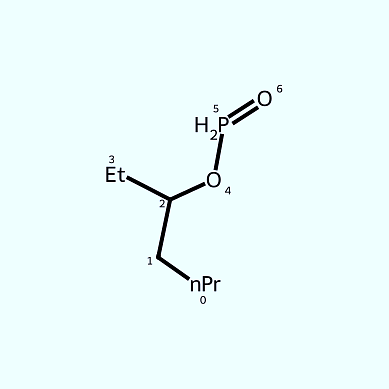 CCCCC(CC)O[PH2]=O